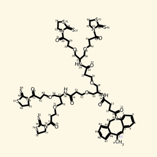 C/C1=C/c2ccccc2N(C(=O)CCC(=O)NC(COCCC(=O)NC(COCCC(=O)N2CCSC2=S)COCCC(=O)N2CCSC2=S)COCCC(=O)NC(COCCC(=O)N2CCSC2=S)COCCC(=O)N2CCSC2=S)Cc2ccccc21